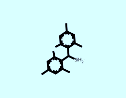 Cc1cc(C)c(C([SiH2])c2c(C)cc(C)cc2C)c(C)c1